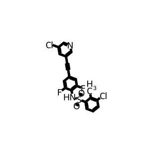 Cc1c(Cl)cccc1S(=O)(=O)Nc1c(F)cc(C#Cc2cncc(Cl)c2)cc1F